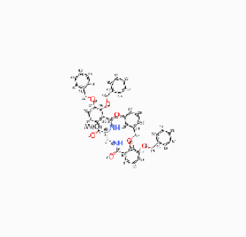 COC(=O)[C@@H](CNC(=O)c1cccc(OCc2ccccc2)c1OCc1ccccc1)NC(=O)c1cccc(OCc2ccccc2)c1OCc1ccccc1